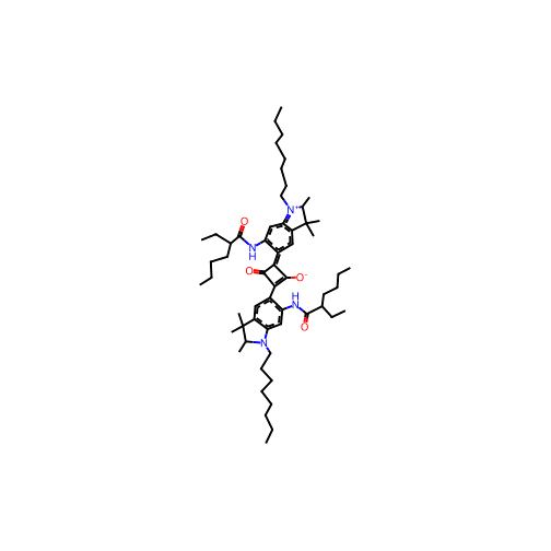 CCCCCCCCN1c2cc(NC(=O)C(CC)CCCC)c(C3=C([O-])/C(=c4\cc5c(cc4NC(=O)C(CC)CCCC)=[N+](CCCCCCCC)C(C)C5(C)C)C3=O)cc2C(C)(C)C1C